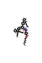 C#CC#CC1(C)c2ccccc2-c2ccc(-c3cc(-c4ccc5c(c4)C(C#CC#C)(C#CC#C)c4ccccc4-5)cc(-c4nnc(-c5ccc(OCCCCCCCC)cc5)o4)c3)cc21